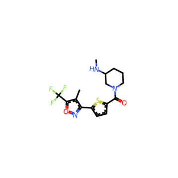 CNC1CCCN(C(=O)c2ccc(-c3noc(C(F)(F)F)c3C)s2)C1